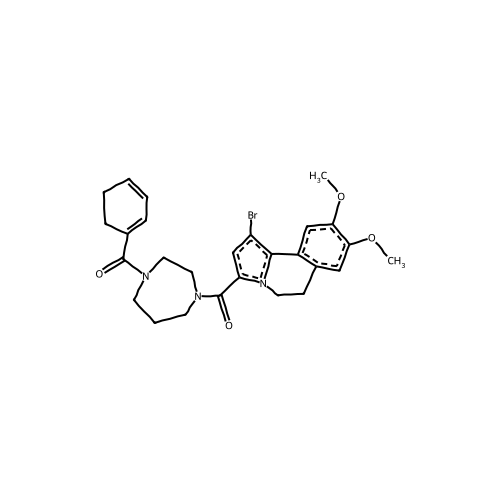 COc1cc2c(cc1OC)-c1c(Br)cc(C(=O)N3CCCN(C(=O)C4=CC=CCC4)CC3)n1CC2